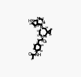 CC(=O)Nc1ccc(CC(=O)N2CCN(c3ncnc4[nH]ccc34)CC3(CC3)C2)cc1